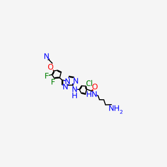 N#CCOc1ccc(-c2cnc3c(Nc4ccc(C(=O)NCCCCCN)c(Cl)c4)nccn23)c(F)c1F